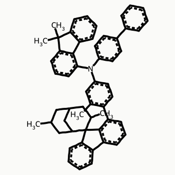 Cc1cc(N(c2ccc(-c3ccccc3)cc2)c2cccc3c2-c2ccccc2C3(C)C)ccc1-c1cccc2c1C1(c3ccccc3-2)C(C)CC2CC(C)CC1C2